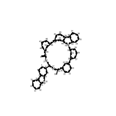 C=c1nc(-c2ccc3c(c2)sc2ccccc23)nc(C)c2cccc(c2)c2cccc(c2)n2c3ccccc3c3ccc(cc32)c2cccc1c2